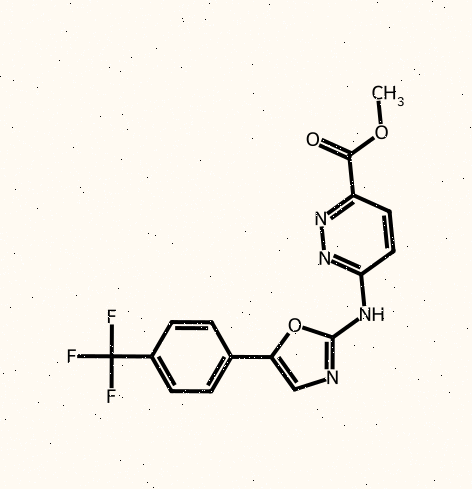 COC(=O)c1ccc(Nc2ncc(-c3ccc(C(F)(F)F)cc3)o2)nn1